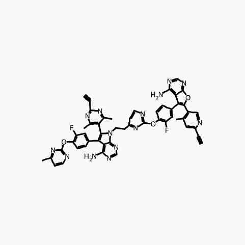 C#Cc1cc(C)c(-c2oc3ncnc(N)c3c2-c2ccc(Oc3nccc(CCn4c(-c5c(C)nc(C#C)nc5C)c(-c5ccc(Oc6nccc(C)n6)c(F)c5)c5c(N)ncnc54)n3)c(F)c2)cn1